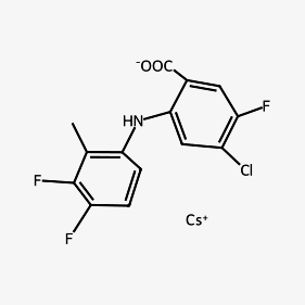 Cc1c(Nc2cc(Cl)c(F)cc2C(=O)[O-])ccc(F)c1F.[Cs+]